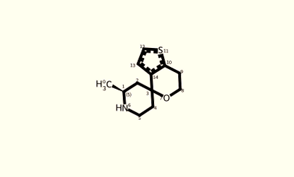 C[C@H]1CC2(CCN1)OCCc1sccc12